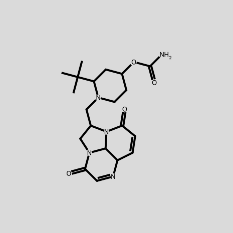 CC(C)(C)C1CC(OC(N)=O)CCN1CC1CN2C(=O)C=NC3C=CC(=O)N1C32